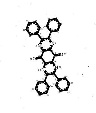 O=C1c2nc(-c3ccccc3)c(-c3ccccc3)nc2C(=O)c2nc(-c3ccccc3)c(-c3ccccc3)nc21